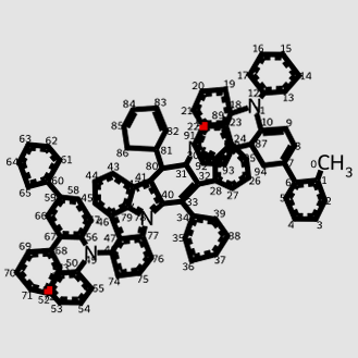 Cc1ccccc1C1=CC=C(N(c2ccccc2)c2cccc3c2c2cccc4c2n3C2C4=C(c3ccccc3)c3c(c4cccc5c6c(N(c7ccccc7)c7ccc(-c8ccccc8)cc7-c7ccccc7)cccc6n3c45)C2C2C=CC=CC2)C(c2ccccc2)C1